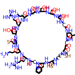 CC[C@H](C)[C@@H]1NC(=O)[C@H](CCCNC(=N)N)NC(=O)C(CC(=O)O)NC(=O)[C@H](CCSC)NC(=O)C(CCCCN)NC(=O)[C@H](CCCNC(=N)N)NC(=O)CNC(=O)[C@H](Cc2ccccc2)NC(=O)C(CS)NCCN[C@@H](CS)C(=O)C(=O)CNC(=O)C(CC(C)C)NC(=O)CNC(=O)C(CO)NC(=O)[C@H](CO)NC(=O)C(CO)NC(=O)[C@H](CO)NC1=O